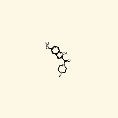 CCOc1ccc2[nH]c(C(=O)N3CCN(C)CC3)cc2c1